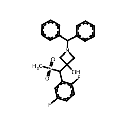 CS(=O)(=O)C(c1cc(F)ccc1F)C1(O)CN(C(c2ccccc2)c2ccccc2)C1